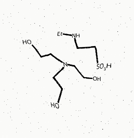 CCNCCS(=O)(=O)O.OCCN(CCO)CCO